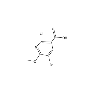 COc1nc(Cl)c(C(=O)O)cc1Br